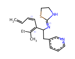 C=C/C=C\C(=C(\C)CC)C(Cc1cccnc1)/N=C1/NCCS1